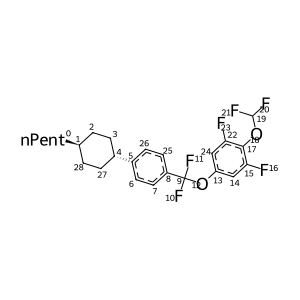 CCCCC[C@H]1CC[C@H](c2ccc(C(F)(F)Oc3cc(F)c(OC(F)F)c(F)c3)cc2)CC1